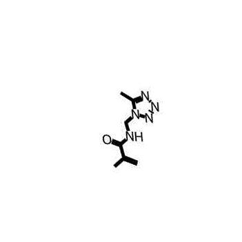 C=C(C)C(=O)NCn1nnnc1C